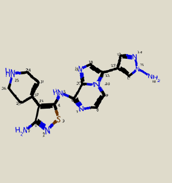 Nc1nsc(Nc2nccn3c(-c4cnn(N)c4)cnc23)c1C1=CCNCC1